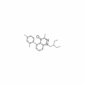 CCC(CC)Cn1nc(C)c(=O)c2c(-c3ccc(C)cc3C)cccc21